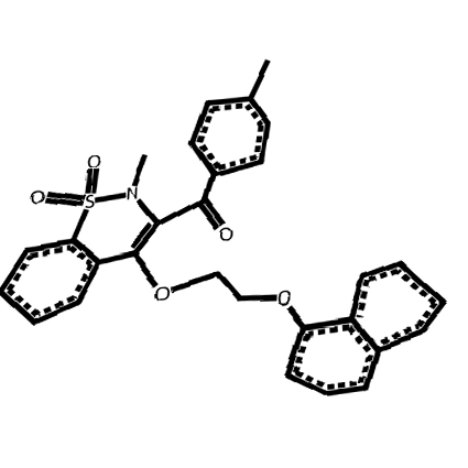 Cc1ccc(C(=O)C2=C(OCCOc3cccc4ccccc34)c3ccccc3S(=O)(=O)N2C)cc1